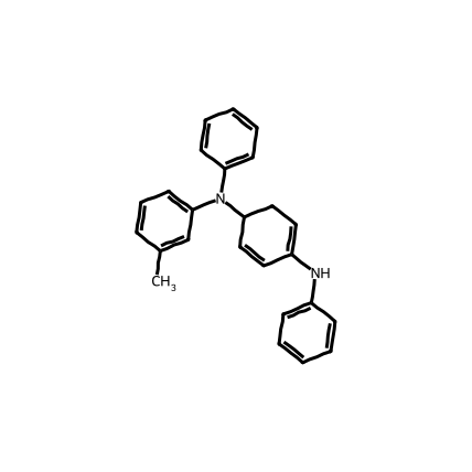 Cc1cccc(N(c2ccccc2)C2C=CC(Nc3ccccc3)=CC2)c1